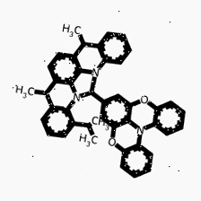 CC(C)c1cccc2c1N1c3c(ccc4c3N(c3ccccc3C4C)C1c1cc3c4c(c1)Oc1ccccc1N4c1ccccc1O3)C2C